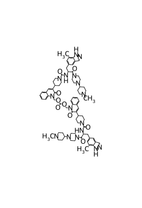 Cc1cc(CC(NC(=O)N2CCC(c3cc4ccccc4n(COC(=O)OCn4c(=O)c(C5CCN(C(=O)NC(Cc6cc(C)c7[nH]ncc7c6)C(=O)N6CCN(C7CCN(C)CC7)CC6)CC5)cc5ccccc54)c3=O)CC2)C(=O)N2CCN(C3CCN(C)CC3)CC2)cc2cn[nH]c12